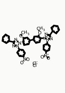 COc1cc(-c2ccc(-[n+]3nc(-c4ccccc4)nn3-c3ccc([N+](=O)[O-])cc3)c(OC)c2)ccc1-[n+]1nc(-c2ccccc2)nn1-c1ccc([N+](=O)[O-])cc1.[Cl-].[Cl-]